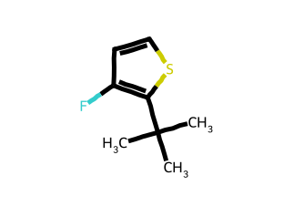 CC(C)(C)c1sccc1F